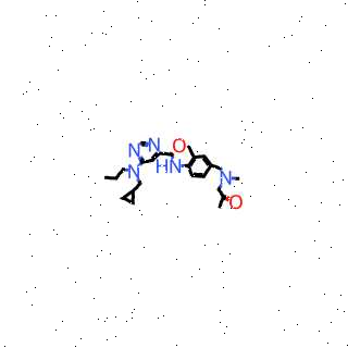 CCCN(CC1CC1)c1cc(C(=O)Nc2ccc(CN(C)CC(C)=O)cc2C)ncn1